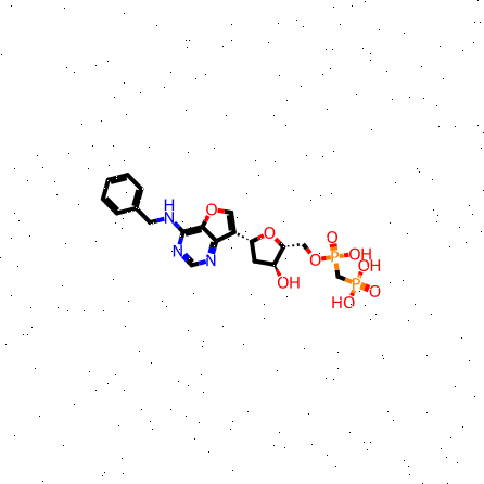 O=P(O)(O)CP(=O)(O)OC[C@H]1O[C@@H](c2coc3c(NCc4ccccc4)ncnc23)C[C@@H]1O